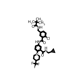 CC(C)(C)C(=O)NCc1ccc(Cl)c(C(=O)Nc2ccc(N3CCC(C(F)(F)F)CC3)c(C(=O)NCC3CC3)c2)c1